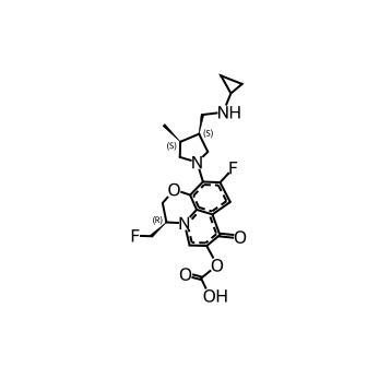 C[C@@H]1CN(c2c(F)cc3c(=O)c(OC(=O)O)cn4c3c2OC[C@@H]4CF)C[C@@H]1CNC1CC1